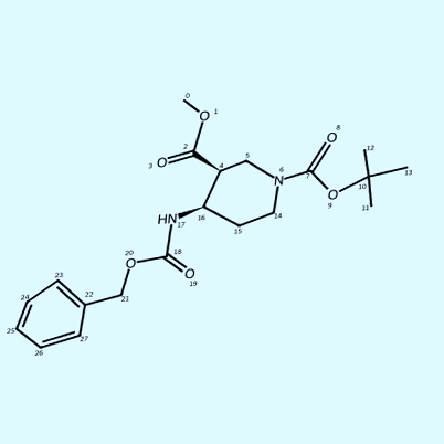 COC(=O)[C@H]1CN(C(=O)OC(C)(C)C)CC[C@H]1NC(=O)OCc1ccccc1